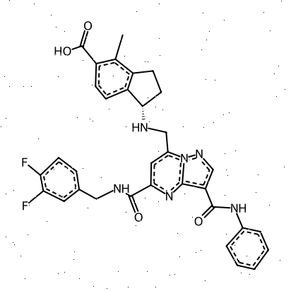 Cc1c(C(=O)O)ccc2c1CC[C@@H]2NCc1cc(C(=O)NCc2ccc(F)c(F)c2)nc2c(C(=O)Nc3ccccc3)cnn12